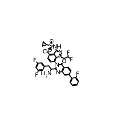 NC(Cc1cc(F)cc(F)c1)c1nc2cc(-c3ccccc3F)ccc2c(=O)n1-c1ccc(Cl)c2c(NS(=O)(=O)C3CC3)nn(CC(F)F)c12